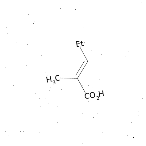 C[CH]C=C(C)C(=O)O